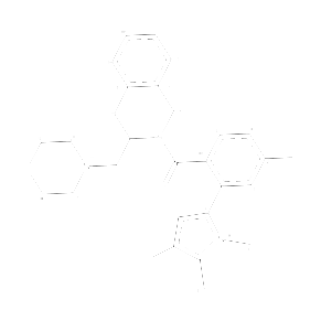 CCOC(=O)c1cc(-c2cc(Cl)ccc2C(=O)N2Cc3ccccc3CC2CN2CCOCC2)n(C)c1C